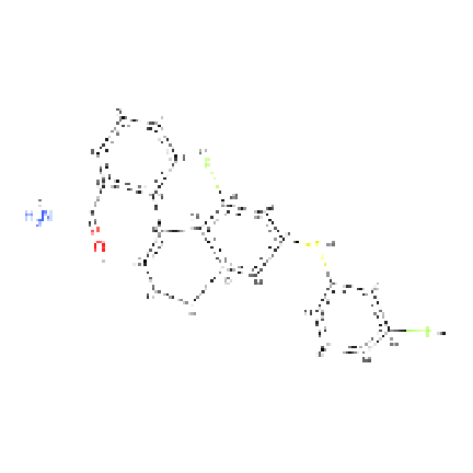 NC(=O)c1ccccc1C1=CCCc2cc(Sc3cccc(F)c3)cc(F)c21